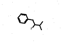 CC(C)C(F)[CH]c1ccccc1